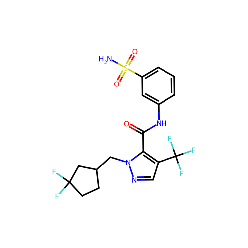 NS(=O)(=O)c1cccc(NC(=O)c2c(C(F)(F)F)cnn2CC2CCC(F)(F)C2)c1